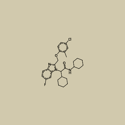 Cc1cc(Cl)ccc1OCc1nc2ccc(F)cc2n1C(C(=O)NC1CCCCC1)C1CCCCC1